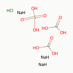 Cl.O=C(O)O.O=C(O)O.O=S(=O)(O)O.[NaH].[NaH].[NaH]